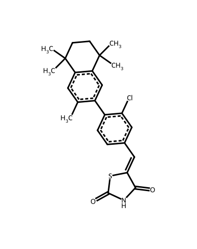 Cc1cc2c(cc1-c1ccc(/C=C3\SC(=O)NC3=O)cc1Cl)C(C)(C)CCC2(C)C